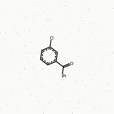 CC(C)C(=O)c1cccc(Cl)c1